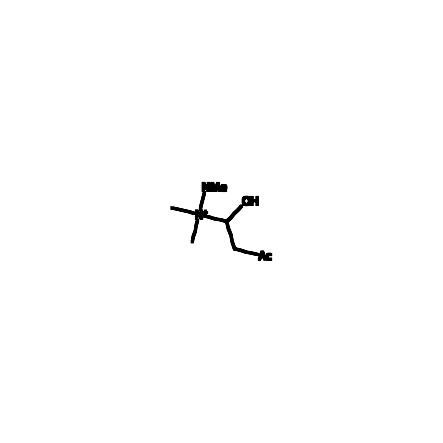 CN[N+](C)(C)C(O)CC(C)=O